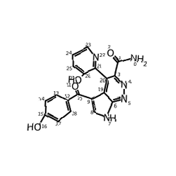 NC(=O)c1nnc2[nH]cc(C(=O)c3ccc(O)cc3)c2c1-c1ncccc1O